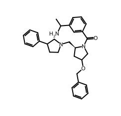 CC(N)c1cccc(C(=O)N2CC(OCc3ccccc3)C[C@H]2CN2CCC(c3ccccc3)C2)c1